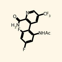 CC(=O)Nc1cc(F)cc(F)c1-c1cc(C(F)(F)F)cnc1C(N)=O